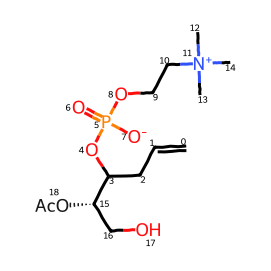 C=CCC(OP(=O)([O-])OCC[N+](C)(C)C)[C@H](CO)OC(C)=O